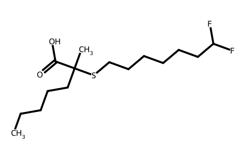 CCCCCC(C)(SCCCCCCC(F)F)C(=O)O